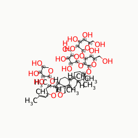 CC(C)=CC1C[C@@](C)(O[C@@H]2OC[C@H](O)[C@H](O)[C@H]2O)[C@@H]2[C@H]3CC[C@@H]4[C@@]5(C)CC[C@H](O[C@@H]6O[C@H](CO)[C@@H](O)[C@H](O[C@@H]7O[C@H](CO)[C@@H](O)[C@H](O)[C@H]7O)[C@H]6O[C@@H]6O[C@@H](CO)[C@H](O)[C@H]6O)C(C)(C)[C@@H]5CC[C@@]4(C)[C@@]34CO[C@@]2(C4)O1